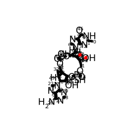 Cc1nc2c(ncn2[C@@H]2S[C@@H]3CO[P@](=O)(S)O[C@H]4[C@@H](O)[C@H](n5cnc6c(N)ncnc65)[C@H]5CC54COP(=O)(O)O[C@@H]2[C@@H]3CO)c(=O)[nH]1